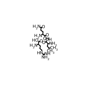 CC(C)CC(N)C(=O)O.N=C(N)NCCCC(N)C(=O)O.NC(=O)CCC(N)C(=O)O